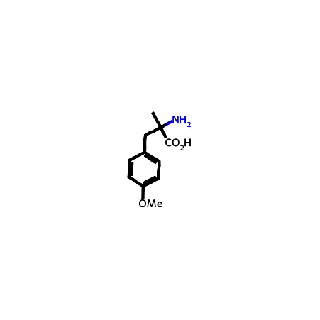 COc1ccc(CC(C)(N)C(=O)O)cc1